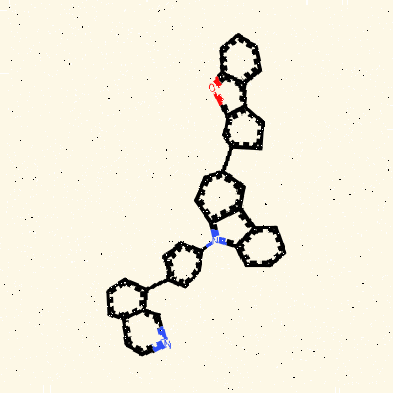 c1cc(-c2ccc(-n3c4ccccc4c4cc(-c5ccc6c(c5)oc5ccccc56)ccc43)cc2)c2cnccc2c1